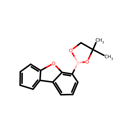 CC1(C)COB(c2cccc3c2oc2ccccc23)O1